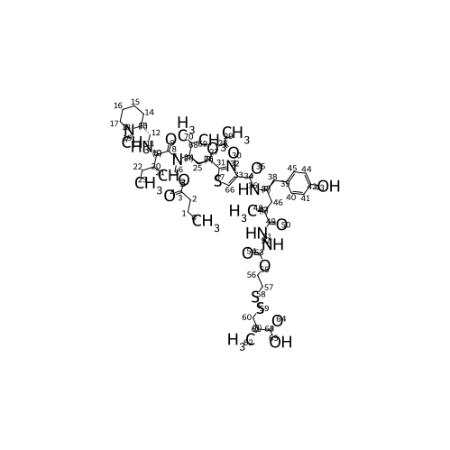 CCCC(=O)OCN(C(=O)[C@@H](NC[C@H]1CCCCN1C)C(C)CC)[C@H](C[C@@H](OC(C)=O)c1nc(C(=O)N[C@@H](Cc2ccc(O)cc2)C[C@H](C)C(=O)NNC(=O)OCCSSC[C@H](C)C(=O)O)cs1)C(C)C